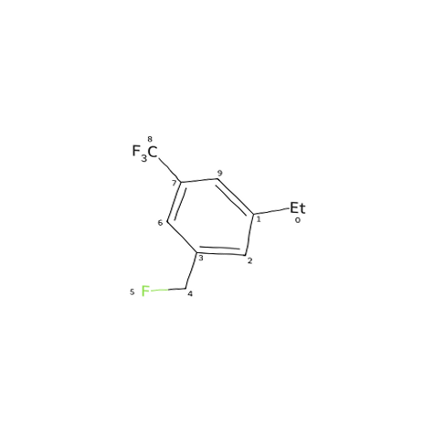 CCc1cc(CF)cc(C(F)(F)F)c1